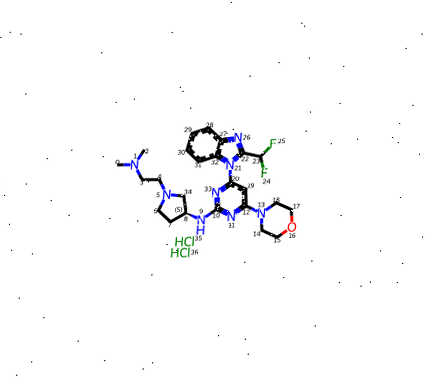 CN(C)CCN1CC[C@H](Nc2nc(N3CCOCC3)cc(-n3c(C(F)F)nc4ccccc43)n2)C1.Cl.Cl